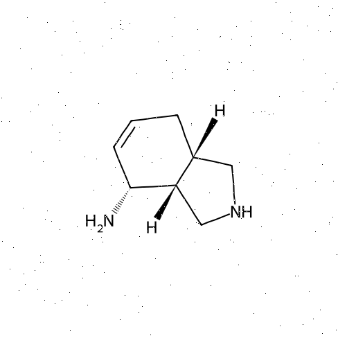 N[C@@H]1C=CC[C@@H]2CNC[C@@H]21